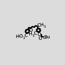 Cc1cc(C(C)CCCc2cc3ccc(C(=O)O)cc3o2)ccc1OCC(=O)C(C)(C)C